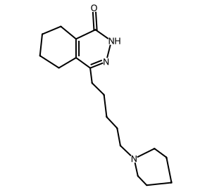 O=c1[nH]nc(CCCCCN2CCCCC2)c2c1CCCC2